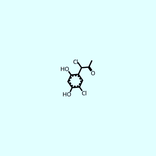 CC(=O)C(Cl)c1cc(Cl)c(O)cc1O